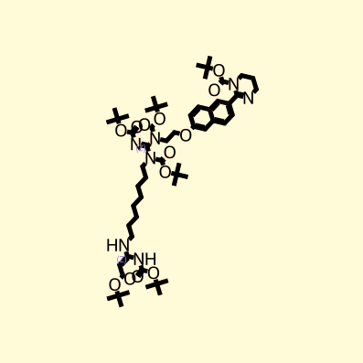 CC(C)(C)OC(=O)/C=C(/NCCCCCCCCN(C(=O)OC(C)(C)C)/C(=N/C(=O)OC(C)(C)C)N(CCOc1ccc2cc(C3=NCCCN3C(=O)OC(C)(C)C)ccc2c1)C(=O)OC(C)(C)C)NC(=O)OC(C)(C)C